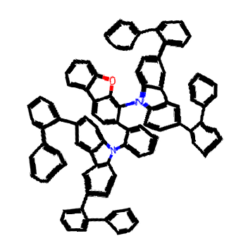 c1ccc(-c2ccccc2-c2ccc3c(c2)c2cc(-c4ccccc4-c4ccccc4)ccc2n3-c2ccccc2-c2ccc3c(oc4ccccc43)c2-n2c3ccc(-c4ccccc4-c4ccccc4)cc3c3cc(-c4ccccc4-c4ccccc4)ccc32)cc1